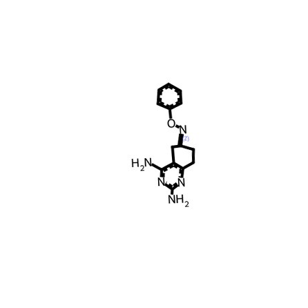 Nc1nc(N)c2c(n1)CC/C(=N/Oc1ccccc1)C2